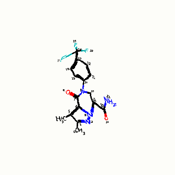 Cc1nn2c(c1C)C(=O)N(c1ccc(C(F)(F)F)cc1)CC2C(N)=O